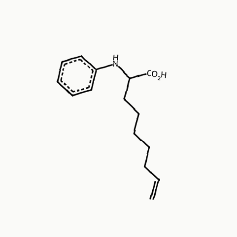 C=CCCCCCC(Nc1ccccc1)C(=O)O